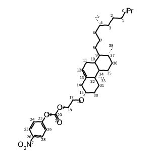 CC(C)CCC[C@@H](C)CCCC1C2CC=C3C[C@@H](OCCOC(=O)Oc4ccc([N+](=O)[O-])cc4)CC[C@]3(C)C2CC[C@H]1C